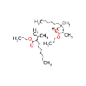 CCCCCCC(C)(C)C=C(C)C(=O)OCCC.CCCCCCCC(C(=O)OCCC)=C(C)C